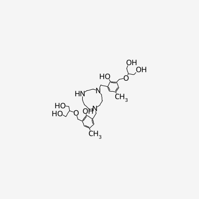 Cc1cc(COC(CO)CO)c(O)c(CN2CCCNCCN(Cc3cc(C)cc(COC(CO)CO)c3O)CCC2)c1